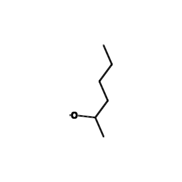 CCCCC(C)[O]